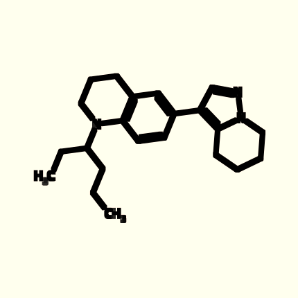 CCCC(CC)N1CCCc2cc(-c3cnn4c3CCCC4)ccc21